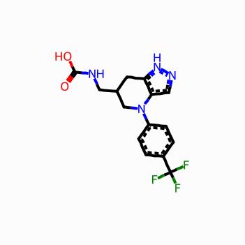 O=C(O)NCC1Cc2[nH]ncc2N(c2ccc(C(F)(F)F)cc2)C1